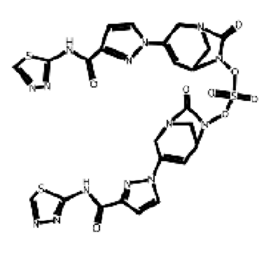 O=C(Nc1nncs1)c1ccn(C2=CC3CN(C2)C(=O)N3OS(=O)(=O)ON2C(=O)N3CC(n4ccc(C(=O)Nc5nncs5)n4)=CC2C3)n1